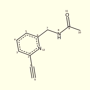 C#Cc1cccc(CNC(C)=O)n1